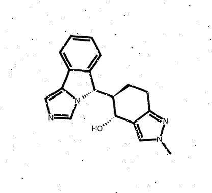 Cn1cc2c(n1)CC[C@H]([C@H]1c3ccccc3-c3cncn31)[C@H]2O